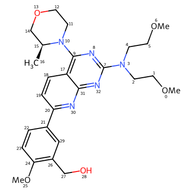 COCCN(CCOC)c1nc(N2CCOC[C@@H]2C)c2ccc(-c3ccc(OC)c(CO)c3)nc2n1